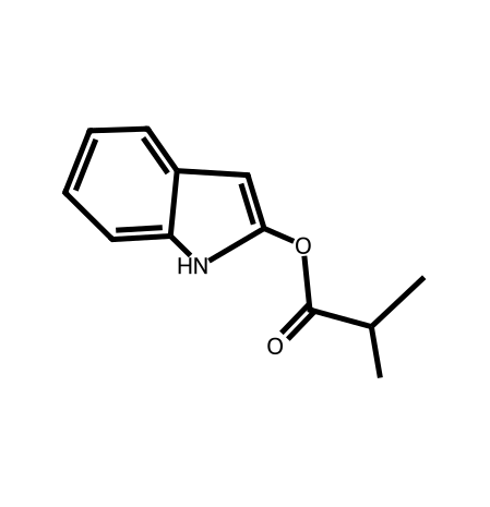 CC(C)C(=O)Oc1cc2ccccc2[nH]1